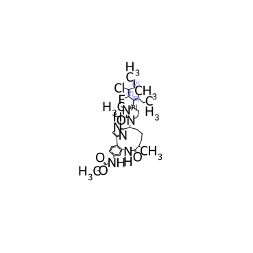 C\C=C/C(Cl)=C(F)\C(=C(/C)CC)[C@H]1CCN(C2CCCC(C)C(=O)Nc3cc(NC(=O)OC)ccc3-c3c[nH]c2n3)C(=O)N1C